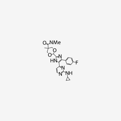 CNC(=O)C1(C)COC(c2nc(-c3ccc(F)cc3)c(-c3ccnc(NC4CC4)n3)[nH]2)OC1